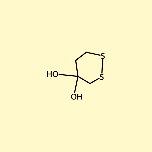 OC1(O)CCSSC1